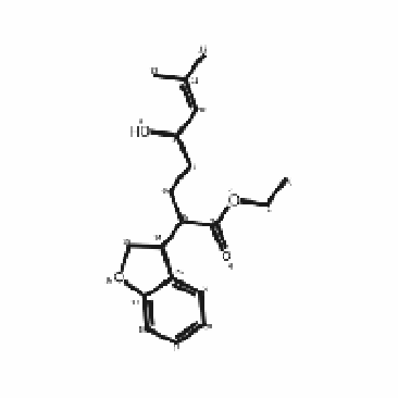 CCOC(=O)C(CCC(O)C=C(C)C)C1COc2ccccc21